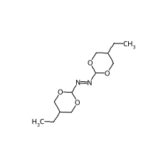 CCC1COC(N=NC2OCC(CC)CO2)OC1